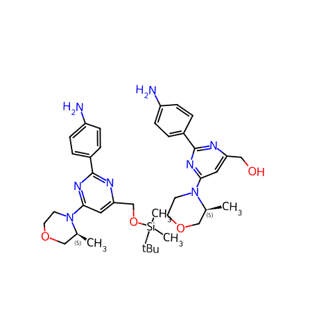 C[C@H]1COCCN1c1cc(CO)nc(-c2ccc(N)cc2)n1.C[C@H]1COCCN1c1cc(CO[Si](C)(C)C(C)(C)C)nc(-c2ccc(N)cc2)n1